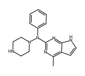 Cc1nc(N(c2ccccc2)N2CCNCC2)nc2[nH]ccc12